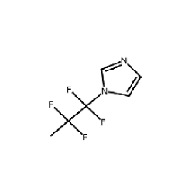 CC(F)(F)C(F)(F)n1ccnc1